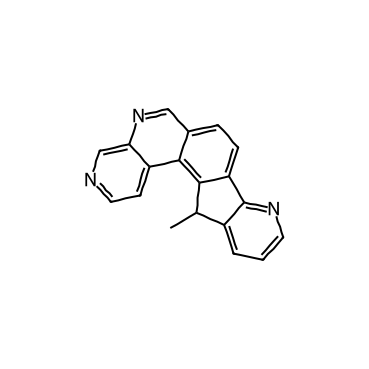 CC1c2cccnc2-c2ccc3cnc4cnccc4c3c21